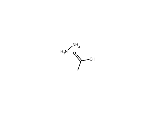 CC(=O)O.NN